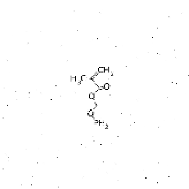 C=C(C)C(=O)OCOP